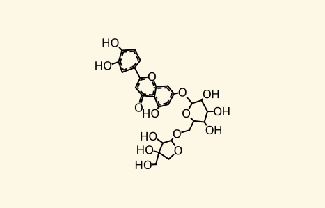 O=c1cc(-c2ccc(O)c(O)c2)oc2cc(OC3OC(COC4OCC(O)(CO)C4O)C(O)C(O)C3O)cc(O)c12